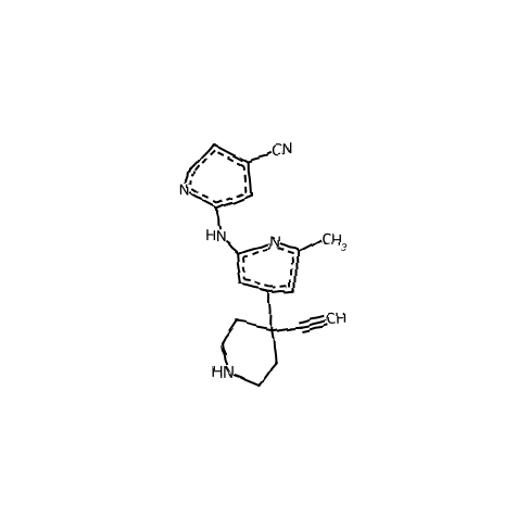 C#CC1(c2cc(C)nc(Nc3cc(C#N)ccn3)c2)CCNCC1